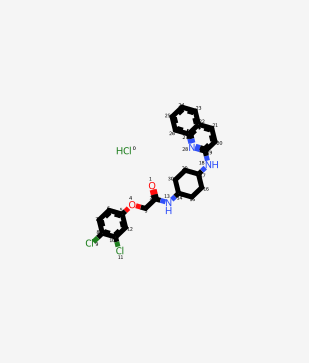 Cl.O=C(COc1ccc(Cl)c(Cl)c1)NC1CCC(Nc2ccc3ccccc3n2)CC1